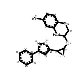 CC(C)c1ccc2c(c1)NC(OC1SC1c1cc(-c3ccccc3)no1)CS2